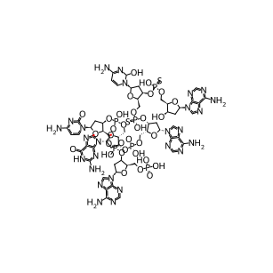 NC1=NC(O)N([C@H]2C[C@@H](OP(O)(=S)OC[C@H]3O[C@@H](n4cnc5c(N)ncnc54)C[C@H]3O)[C@@H](COP(O)(=S)O[C@@H]3C[C@H](n4cnc5c(N)ncnc54)O[C@@H]3COP(=O)(O)O[C@@H]3C[C@H](n4cnc5c(=O)[nH]c(N)nc54)O[C@@H]3COP(=O)(O)O[C@@H]3C[C@H](n4ccc(N)nc4=O)O[C@@H]3COP(=O)(O)OC3C[C@H](n4cnc5c(N)ncnc54)O[C@@H]3COP(=O)(O)O)O2)C=C1